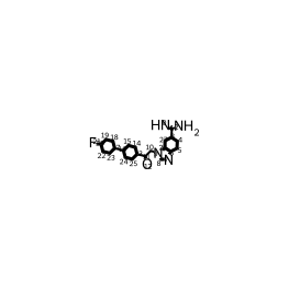 N=C(N)c1ccc2ncn(CC(=O)c3ccc(-c4ccc(F)cc4)cc3)c2c1